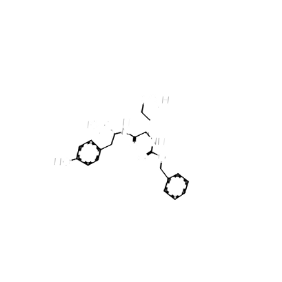 O=C(O)CC[C@H](NC(=O)OCc1ccccc1)C(=O)N[C@@H](Cc1ccc(O)cc1)C(=O)O